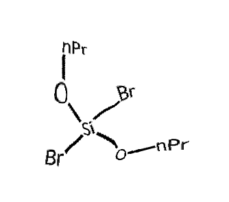 CCCO[Si](Br)(Br)OCCC